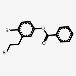 O=C(Oc1ccc(Br)c(CCBr)c1)c1ccccc1